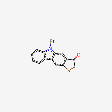 CCn1c2ccccc2c2cc3c(cc21)C(=O)CS3